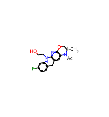 CC(=O)N1c2cc(Cc3ccc(F)cc3)c(NCCO)nc2OC[C@@H]1C